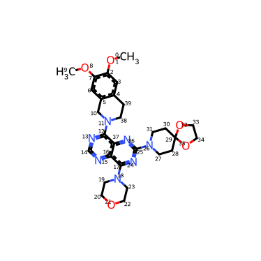 COc1cc2c(cc1OC)CN(c1ncnc3c(N4CCOCC4)nc(N4CCC5(CC4)OCCO5)nc13)CC2